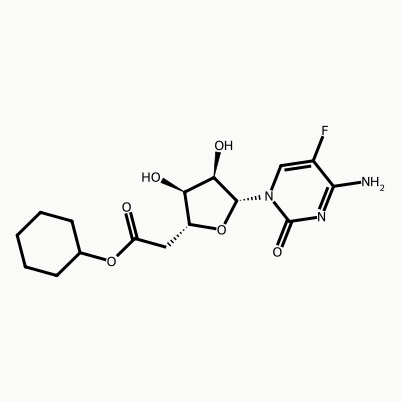 Nc1nc(=O)n([C@@H]2O[C@H](CC(=O)OC3CCCCC3)[C@@H](O)[C@H]2O)cc1F